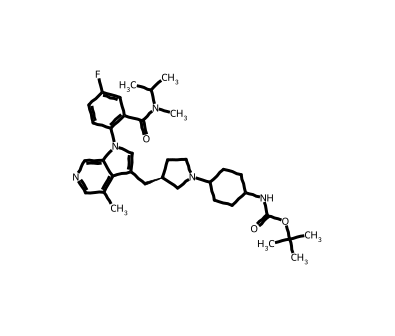 Cc1cncc2c1c(C[C@H]1CCN(C3CCC(NC(=O)OC(C)(C)C)CC3)C1)cn2-c1ccc(F)cc1C(=O)N(C)C(C)C